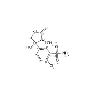 CN1C(=S)SCC1(O)c1ccc(Cl)c(S(N)(=O)=O)c1